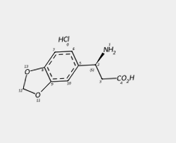 Cl.N[C@@H](CC(=O)O)c1ccc2c(c1)OCO2